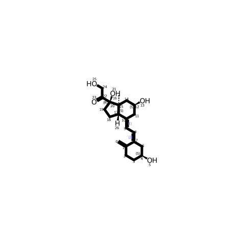 C=C1CC[C@H](O)C/C1=C/C=C1\C[C@H](O)C[C@@]2(C)[C@H]1CC[C@]2(O)C(=O)CO